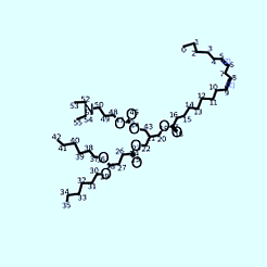 CCCCC/C=C\C/C=C\CCCCCCCC(=O)OCC(COC(=O)CCC(OCCCCCC)OCCCCCC)COC(=O)OCCCN(CC)CC